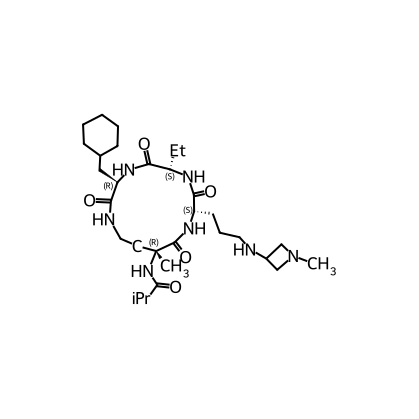 CC[C@@H]1NC(=O)[C@H](CCCNC2CN(C)C2)NC(=O)[C@](C)(NC(=O)C(C)C)CCNC(=O)[C@@H](CC2CCCCC2)NC1=O